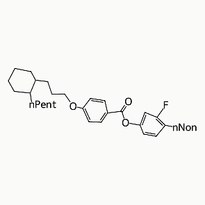 CCCCCCCCCc1ccc(OC(=O)c2ccc(OCCCC3CCCCC3CCCCC)cc2)cc1F